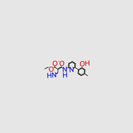 CCOC(=O)/C(C=N)=C(/Nc1cccc(-c2ccc(C)cc2O)n1)OC